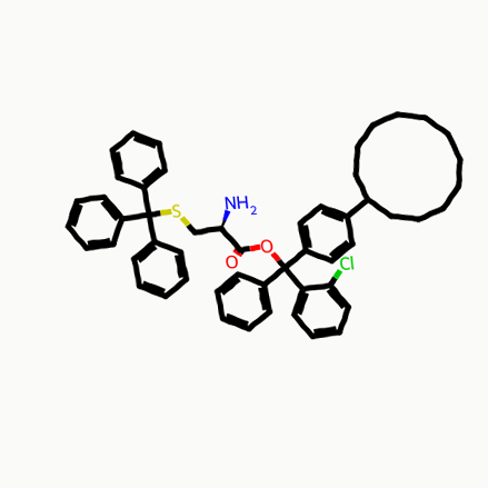 N[C@H](CSC(c1ccccc1)(c1ccccc1)c1ccccc1)C(=O)OC(c1ccccc1)(c1ccc(C2CCCCCCCCCCC2)cc1)c1ccccc1Cl